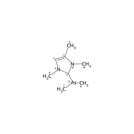 CC1=CN(C)C([As](C)C)N1C